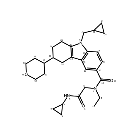 CCN(CC(=O)NC1CC1)C(=O)c1ccc2c(c1)c1c(n2CC2CC2)CCC(C2CCOCC2)C1